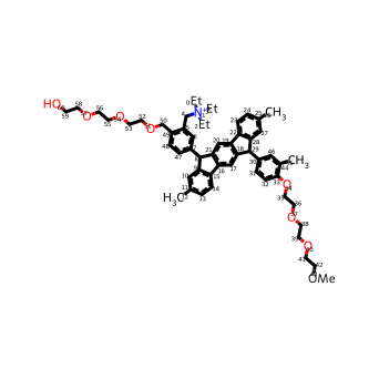 CC[N+](CC)(CC)Cc1cc(C2c3cc(C)ccc3-c3cc4c(cc32)-c2ccc(C)cc2C4c2ccc(OCCOCCOCCOC)c(C)c2)ccc1COCCOCCOCCO